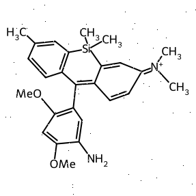 COc1cc(OC)c(C2=C3C=CC(=[N+](C)C)C=C3[Si](C)(C)c3cc(C)ccc32)cc1N